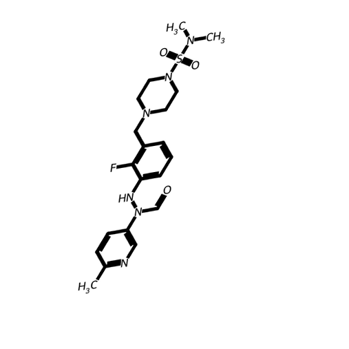 Cc1ccc(N(C=O)Nc2cccc(CN3CCN(S(=O)(=O)N(C)C)CC3)c2F)cn1